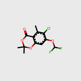 Cc1c(Cl)c(OC(F)F)cc2c1C(=O)OC(C)(C)O2